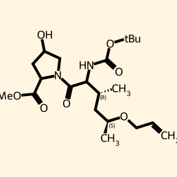 C=CCO[C@@H](C)C[C@@H](C)C(NC(=O)OC(C)(C)C)C(=O)N1CC(O)CC1C(=O)OC